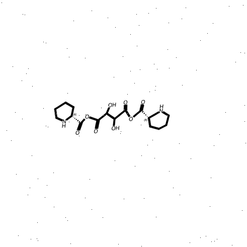 O=C(OC(=O)[C@H]1CCCCN1)C(O)C(O)C(=O)OC(=O)[C@H]1CCCCN1